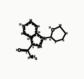 NC(=O)c1nn(C2CCCCO2)c2ccncc12